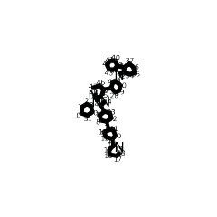 c1ccc(-n2c(-c3ccc(-c4ccc(-c5ccccn5)cc4)cc3)nc3c(-c4cccc(-n5c6ccccc6c6ccccc65)c4)ccnc32)cc1